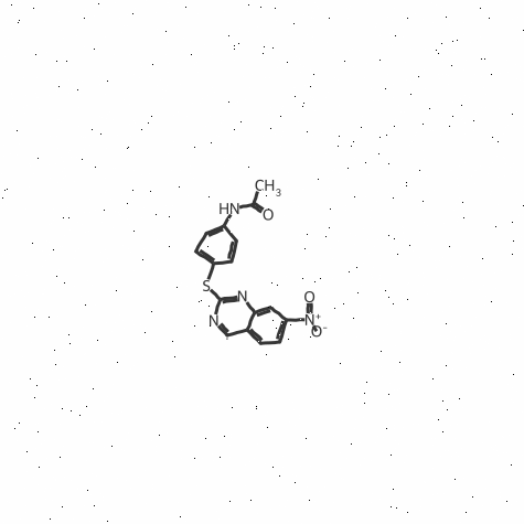 CC(=O)Nc1ccc(Sc2n[c]c3ccc([N+](=O)[O-])cc3n2)cc1